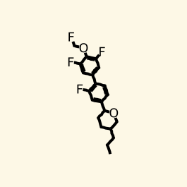 CCCC1CCC(c2ccc(-c3cc(F)c(OCF)c(F)c3)c(F)c2)OC1